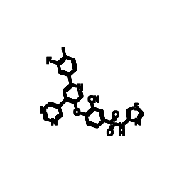 Cc1ccc(-c2cc(-c3cncnc3)c(Oc3ccc(S(=O)(=O)Nc4cscn4)cc3C#N)cn2)cc1F